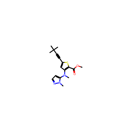 COC(=O)c1sc(C#CC(C)(C)C)cc1N(C)c1ccnn1C